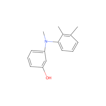 Cc1cccc(N(C)c2cccc(O)c2)c1C